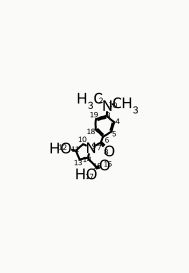 CN(C)c1ccc(C(=O)N2CC(O)CC2C(=O)O)cc1